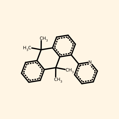 CC1(C)c2ccccc2C(C)(C)c2c(-c3ccccn3)cccc21